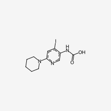 O=C(O)Nc1cnc(N2CCCCC2)cc1I